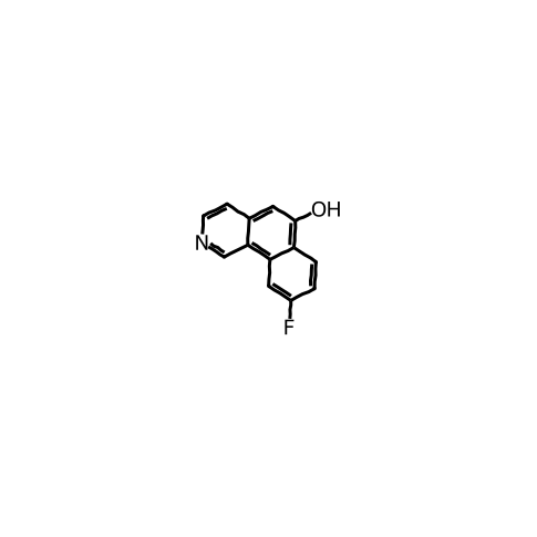 Oc1cc2ccncc2c2cc(F)ccc12